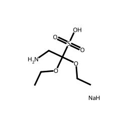 CCOC(CN)(OCC)S(=O)(=O)O.[NaH]